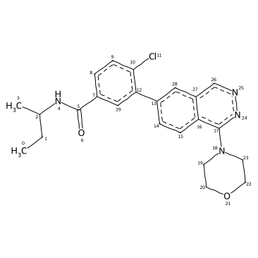 CCC(C)NC(=O)c1ccc(Cl)c(-c2ccc3c(N4CCOCC4)nncc3c2)c1